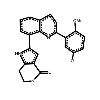 COc1ccc(Cl)cc1-c1ccc2cccc(-c3cc4c([nH]3)CCNC4=O)c2n1